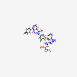 CC(O)CNc1n[nH]c2nccc(Oc3ccc(NC(=O)c4ccnn(-c5ccc(F)cc5)c4=O)cc3F)c12